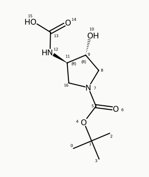 CC(C)(C)OC(=O)N1C[C@@H](O)[C@H](NC(=O)O)C1